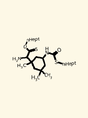 CCCCCCCOC(=S)C(N)C1(C)CC(NC(=O)SCCCCCCC)CC(C)(C)C1